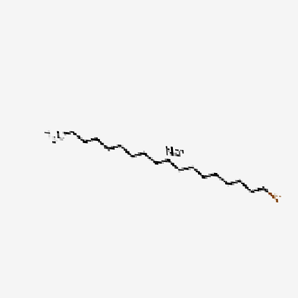 CCCCCCCCCCCCCCCCCC[S-].[Na+]